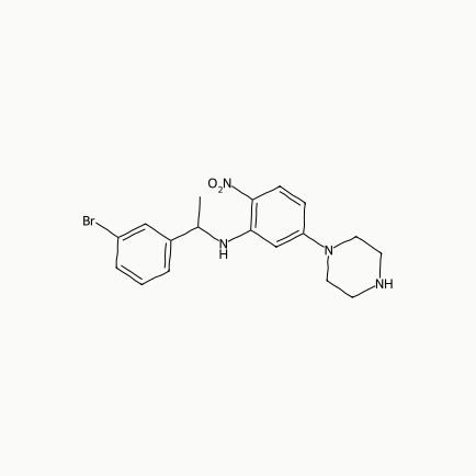 CC(Nc1cc(N2CCNCC2)ccc1[N+](=O)[O-])c1cccc(Br)c1